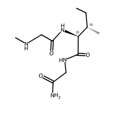 CC[C@H](C)[C@H](NC(=O)CNC)C(=O)NCC(N)=O